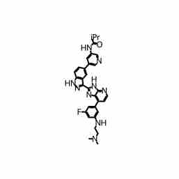 CC(C)C(=O)Nc1cncc(-c2ccc3[nH]nc(-c4nc5c(-c6cc(F)cc(NCCN(C)C)c6)ccnc5[nH]4)c3c2)c1